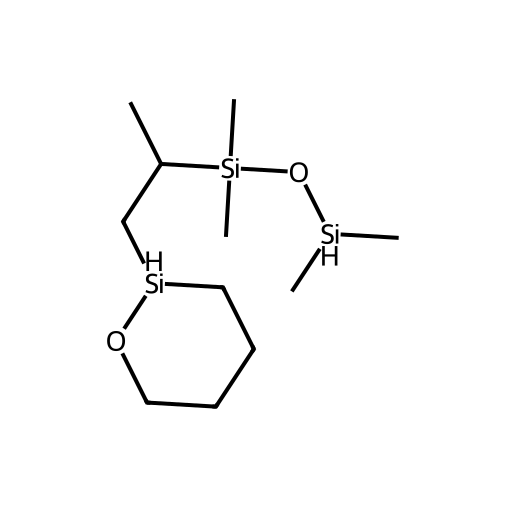 CC(C[SiH]1CCCCO1)[Si](C)(C)O[SiH](C)C